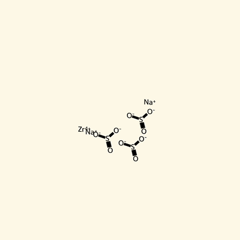 O=S([O-])[O-].O=S([O-])[O-].O=S([O-])[O-].[Na+].[Na+].[Zr+4]